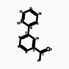 CC(=O)c1cccc(-c2ccccn2)c1